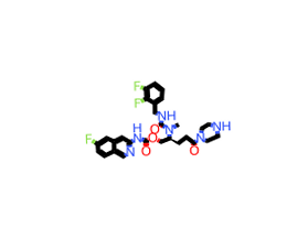 CN(C(=O)NCc1cccc(F)c1F)[C@@H](CCC(=O)N1CCNCC1)COC(=O)Nc1cc2cc(F)ccc2cn1